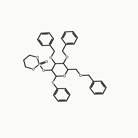 O=P1(OC2C(Sc3ccccc3)OC(COCc3ccccc3)C(OCc3ccccc3)C2OCc2ccccc2)OCCCO1